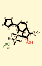 CC[Si](C)(C)[Si]1(C)C2=C(O)[CH]([Zr+2])c3ccc(C4=CC=CC4)c1c32.[Cl-].[Cl-]